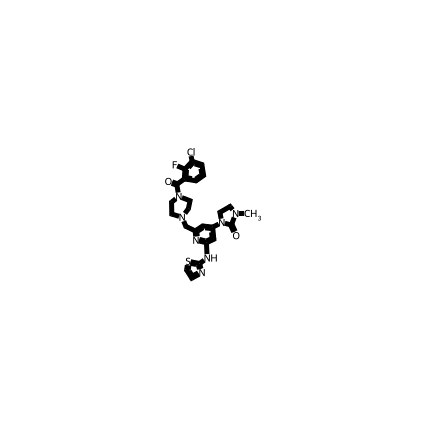 CN1CCN(c2cc(CN3CCN(C(=O)c4cccc(Cl)c4F)CC3)nc(Nc3nccs3)c2)C1=O